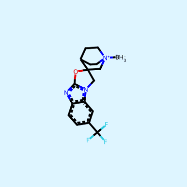 [BH3-][N+]12CCC(CC1)C1(Cn3c(nc4ccc(C(F)(F)F)cc43)O1)C2